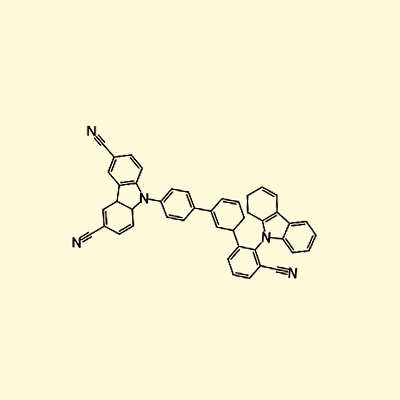 N#CC1=CC2c3cc(C#N)ccc3N(c3ccc(C4=CC(c5cccc(C#N)c5-n5c6c(c7ccccc75)C=CCC6)CC=C4)cc3)C2C=C1